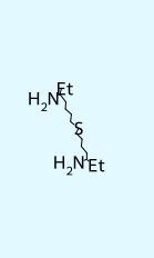 CCC(N)CCCCSCCCCC(N)CC